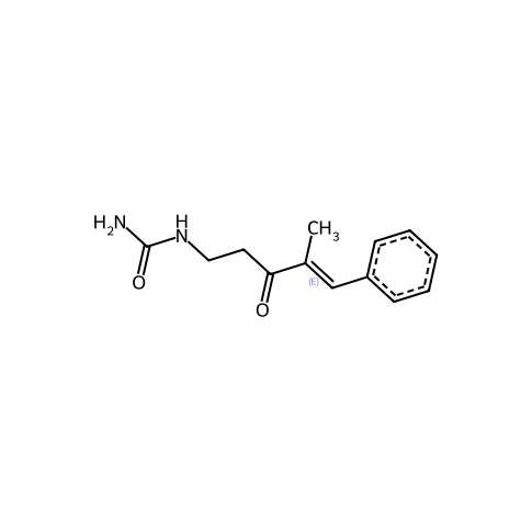 C/C(=C\c1ccccc1)C(=O)CCNC(N)=O